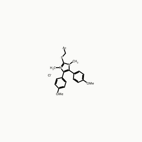 COc1ccc(-c2c(-c3ccc(OC)cc3)[n+](C)c(SCC(C)=O)n2C)cc1.[Cl-]